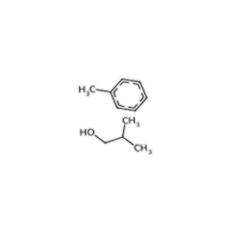 CC(C)CO.Cc1ccccc1